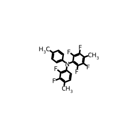 Cc1ccc(N(c2ccc(C)c(F)c2F)c2c(F)c(F)c(C)c(F)c2F)cc1